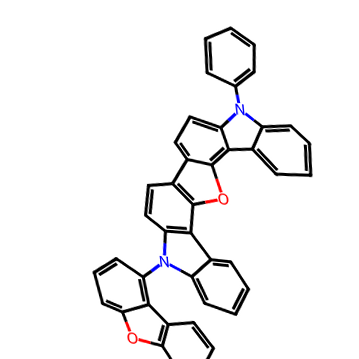 C1=Cc2c(oc3cccc(-n4c5ccccc5c5c6oc7c(ccc8c7c7ccccc7n8-c7ccccc7)c6ccc54)c23)CC1